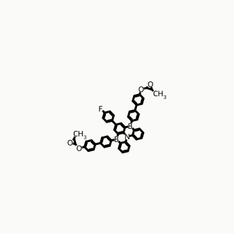 CC1OC1Oc1ccc(-c2ccc(B3c4ccccc4N4c5ccccc5B(c5ccc(-c6ccc(OC7OC7C)cc6)cc5)c5cc(-c6ccc(F)cc6)cc3c54)cc2)cc1